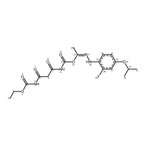 CCOC(=O)NC(=O)CC(=O)NC(=O)OC(C)=NNc1ccc(OC(C)C)cc1F